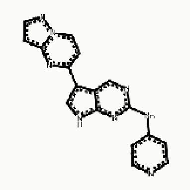 c1cc(Nc2ncc3c(-c4ccn5nccc5n4)c[nH]c3n2)ccn1